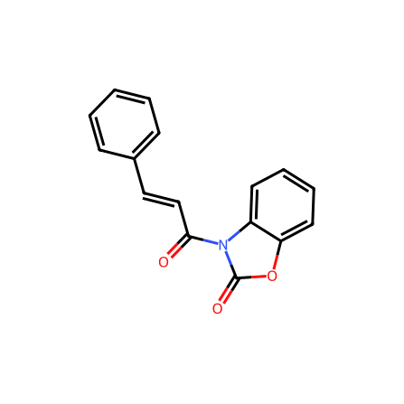 O=C(/C=C/c1ccccc1)n1c(=O)oc2ccccc21